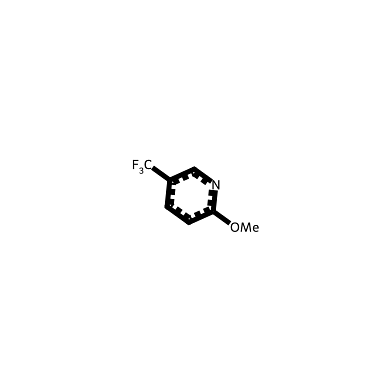 [CH2-][OH+]c1ccc(C(F)(F)F)cn1